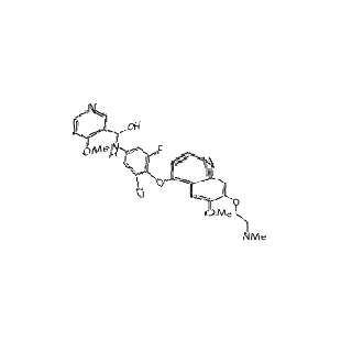 CNCCOc1cc2nccc(Oc3c(F)cc(NC(O)c4cnccc4OC)cc3Cl)c2cc1OC